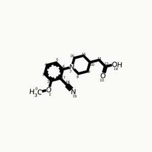 COc1cccc(N2CCC(CC(=O)O)CC2)c1C#N